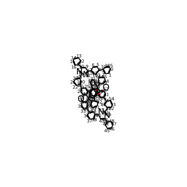 c1ccc(-c2ccc(-c3cc(-c4ccccc4)nc(-c4cccc(-c5ccc6c(c5)Oc5ccc(-c7cccc(-c8cc(-c9ccccc9)nc(-c9cccc(-c%10ccc%11c(c%10)Oc%10ccccc%10C%11%10c%11ccccc%11-c%11ccccc%11%10)c9)n8)c7)cc5C65c6ccccc6-c6ccccc65)c4)n3)cc2)cc1